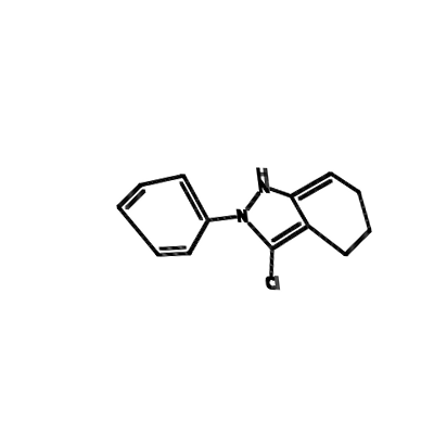 ClC1=C2CCCC=C2NN1c1ccccc1